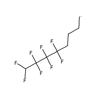 [CH2]CCCC(F)(F)C(F)(F)C(F)(F)C(F)F